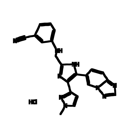 Cl.Cn1ccc(-c2nc(CNc3cccc(C#N)c3)[nH]c2-c2ccc3ncnn3c2)n1